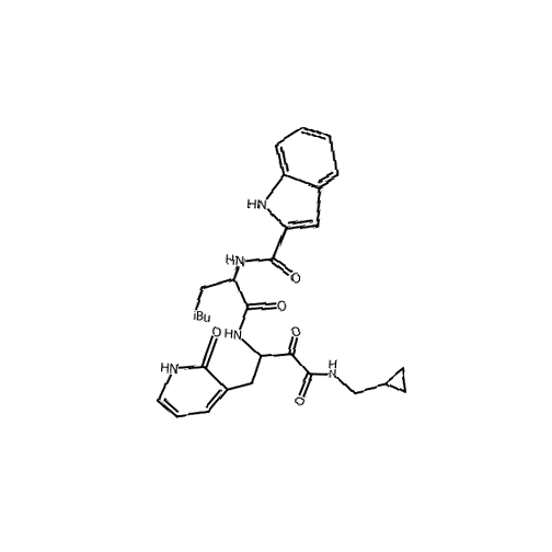 CCC(C)CC(NC(=O)c1cc2ccccc2[nH]1)C(=O)NC(Cc1ccc[nH]c1=O)C(=O)C(=O)NCC1CC1